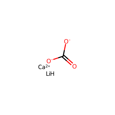 O=C([O-])[O-].[Ca+2].[LiH]